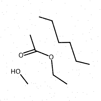 CCCCCC.CCOC(C)=O.CO